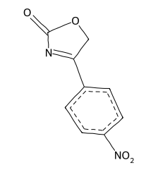 O=C1N=C(c2ccc([N+](=O)[O-])cc2)CO1